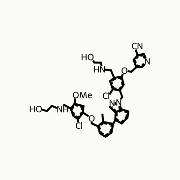 COc1cc(OCc2cccc(-c3cccc4c3cnn4Cc3cc(OCc4cncc(C#N)c4)c(CNCCO)cc3Cl)c2C)c(Cl)cc1CNCCO